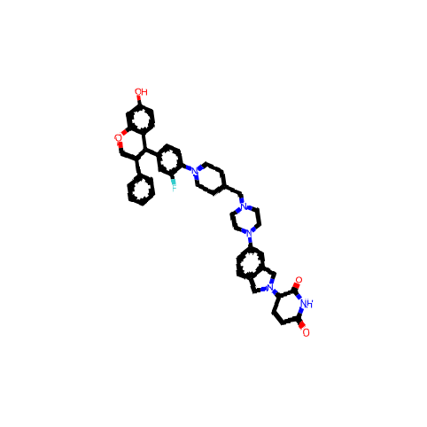 O=C1CCC(N2Cc3ccc(N4CCN(CC5CCN(c6ccc(C7c8ccc(O)cc8OCC7c7ccccc7)cc6F)CC5)CC4)cc3C2)C(=O)N1